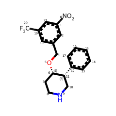 O=[N+]([O-])c1cc(CO[C@H]2CCNC[C@H]2c2ccccc2)cc(C(F)(F)F)c1